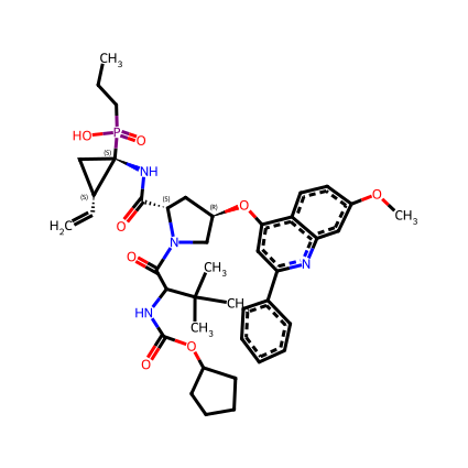 C=C[C@@H]1C[C@]1(NC(=O)[C@@H]1C[C@@H](Oc2cc(-c3ccccc3)nc3cc(OC)ccc23)CN1C(=O)C(NC(=O)OC1CCCC1)C(C)(C)C)P(=O)(O)CCC